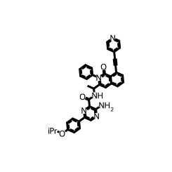 CC(C)Oc1ccc(-c2cnc(N)c(C(=O)NC(C)c3cc4cccc(C#Cc5ccncc5)c4c(=O)n3-c3ccccc3)n2)cc1